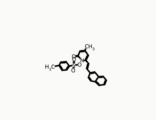 Cc1ccc(S(=O)(=O)On2c(C=Cc3ccc4ccccc4c3)cc(C)cc2=O)cc1